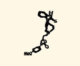 COc1ccc(N2CC(CCN3CCC(n4c(=S)[nH]c5ccccc54)CC3)OC2=O)cc1